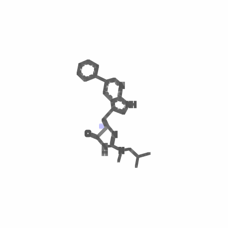 CC(C)CN(C)C1=N/C(=C\c2c[nH]c3ncc(-c4ccccc4)cc23)C(=O)N1